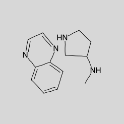 CNC1CCNC1.c1ccc2nccnc2c1